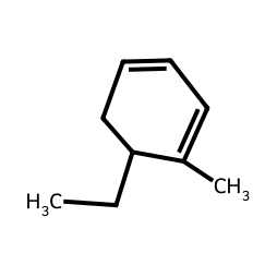 CCC1CC=CC=C1C